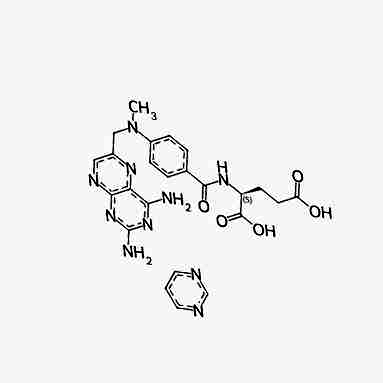 CN(Cc1cnc2nc(N)nc(N)c2n1)c1ccc(C(=O)N[C@@H](CCC(=O)O)C(=O)O)cc1.c1cncnc1